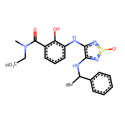 CN(CC(=O)O)C(=O)c1cccc(Nc2n[s+]([O-])nc2NC(c2ccccc2)C(C)(C)C)c1O